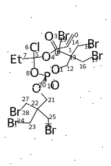 C=CC(=O)OC(Cl)(CC)OP(=O)(OCC(CBr)(CBr)CBr)OCC(CBr)(CBr)CBr